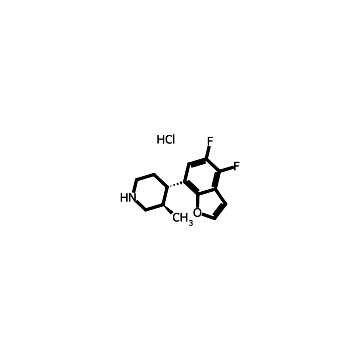 C[C@H]1CNCC[C@@H]1c1cc(F)c(F)c2ccoc12.Cl